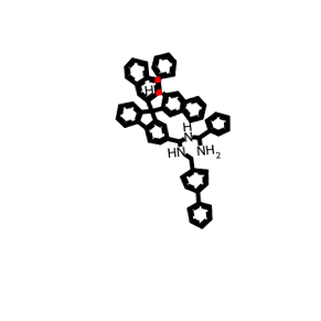 NC(NC(NCc1ccc(-c2ccccc2)cc1)c1ccc2c(c1)C(c1ccc3ccccc3c1)(c1cc3ccccc3cc1Nc1ccccc1)c1ccccc1-2)c1ccccc1